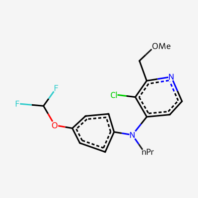 CCCN(c1ccc(OC(F)F)cc1)c1ccnc(COC)c1Cl